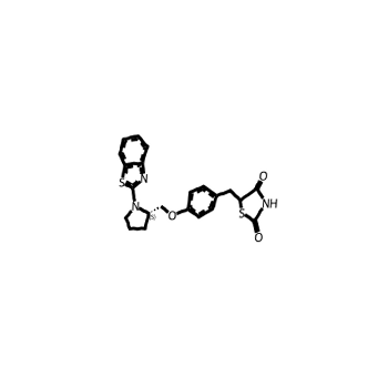 O=C1NC(=O)C(Cc2ccc(OC[C@@H]3CCCN3c3nc4ccccc4s3)cc2)S1